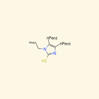 C=CCn1c(S)nc(CCCCC)c1CCCCC